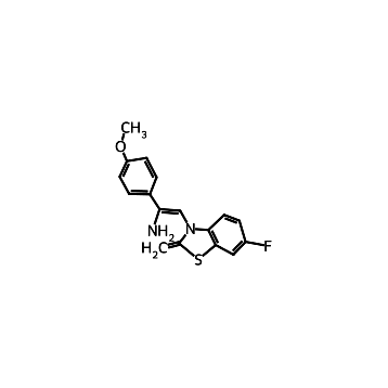 C=C1Sc2cc(F)ccc2N1/C=C(\N)c1ccc(OC)cc1